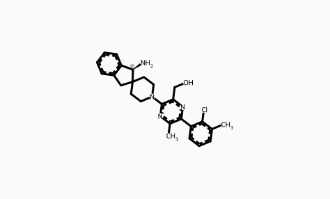 Cc1cccc(-c2nc(CO)c(N3CCC4(CC3)Cc3ccccc3[C@H]4N)nc2C)c1Cl